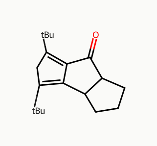 CC(C)(C)C1=C2C(=O)C3CCCC3C2=C(C(C)(C)C)C1